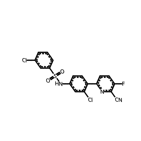 N#Cc1nc(-c2ccc(NS(=O)(=O)c3cccc(Cl)c3)cc2Cl)ccc1F